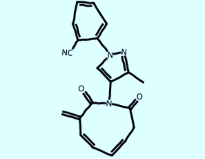 C=C1/C=C\C=C/CC(=O)N(c2cn(-c3ccccc3C#N)nc2C)C1=O